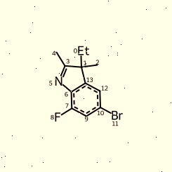 CCC1(C)C(C)=Nc2c(F)cc(Br)cc21